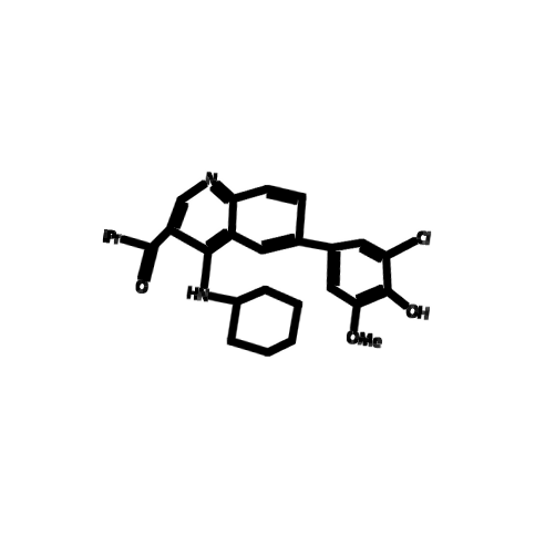 COc1cc(-c2ccc3ncc(C(=O)C(C)C)c(NC4CCCCC4)c3c2)cc(Cl)c1O